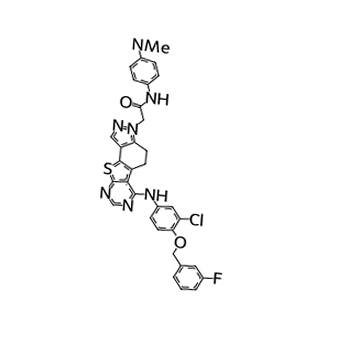 CNc1ccc(NC(=O)Cn2ncc3c2CCc2c-3sc3ncnc(Nc4ccc(OCc5cccc(F)c5)c(Cl)c4)c23)cc1